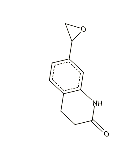 O=C1CCc2ccc(C3CO3)cc2N1